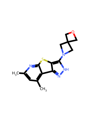 Cc1cc(C)c2c(n1)sc1c(N3CC4(COC4)C3)[nH]nc12